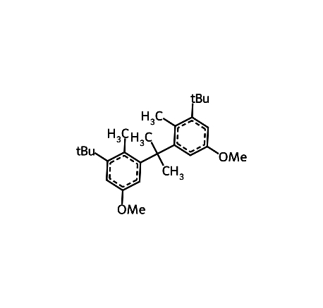 COc1cc(C(C)(C)C)c(C)c(C(C)(C)c2cc(OC)cc(C(C)(C)C)c2C)c1